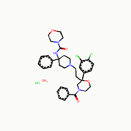 Cl.O.O=C(NC1(c2ccccc2)CCN(CCC2(c3ccc(Cl)c(Cl)c3)CN(C(=O)c3ccccc3)CCO2)CC1)N1CCOCC1